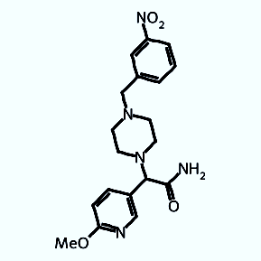 COc1ccc(C(C(N)=O)N2CCN(Cc3cccc([N+](=O)[O-])c3)CC2)cn1